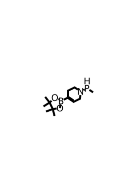 CPN1CC=C(B2OC(C)(C)C(C)(C)O2)CC1